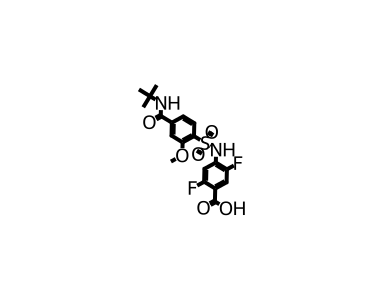 COc1cc(C(=O)NC(C)(C)C)ccc1S(=O)(=O)Nc1cc(F)c(C(=O)O)cc1F